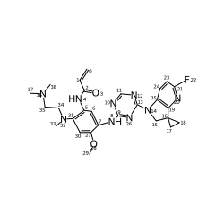 C=CC(=O)Nc1cc(Nc2ncnc(N3CC4(CC4)c4nc(F)ccc43)n2)c(OC)cc1N(C)CCN(C)C